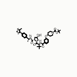 Cc1ncsc1-c1ccc([C@H](C)NC(=O)[C@@H]2C[C@@H](O)CN2C(=O)C(NC(=O)c2cccc(OC3CCN(C(=O)OC(C)(C)C)CC3)c2)C(C)(C)C)cc1